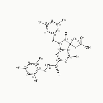 CC1(CC(=O)O)C(=O)N(Cc2cc(F)cc(F)c2)c2cc(C(=O)NCc3c(F)cc(F)cc3F)cc(I)c21